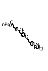 CCCOC(=O)CCC1CN(C(=O)Cc2ccc(OCCCC3CCN(c4ncc(Cl)cn4)CC3)cc2F)C1